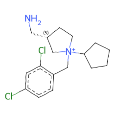 NC[C@@H]1CC[N+](Cc2ccc(Cl)cc2Cl)(C2CCCC2)C1